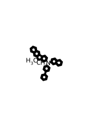 CC1(C)c2cc(N(c3ccc(-c4ccccc4)cc3)c3ccc4ccccc4c3)ccc2-c2cc3ccccc3cc21